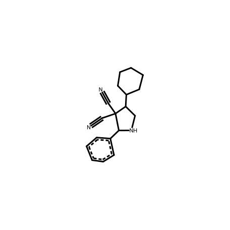 N#CC1(C#N)C(c2ccccc2)NCC1C1CCCCC1